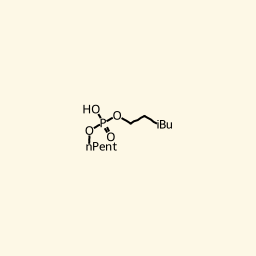 CCCCCOP(=O)(O)OCCC(C)CC